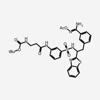 CC(=O)ON=C(N)c1cccc(CC(NS(=O)(=O)c2cccc(NC(=O)CCNC(=O)OC(C)(C)C)c2)c2nc3ccccc3s2)c1